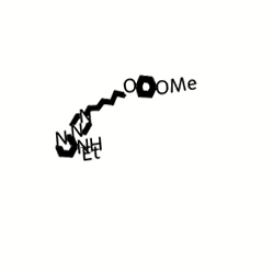 CCNc1cccnc1N1CCN(CCCCCCOc2ccc(OC)cc2)CC1